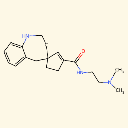 CN(C)CCNC(=O)C1=CC2(CCNc3ccccc3C2)CC1